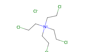 ClCC[N+](CCCl)(CCCl)CCCl.[Cl-]